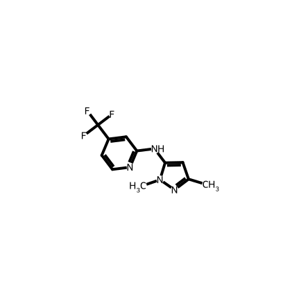 Cc1cc(Nc2cc(C(F)(F)F)ccn2)n(C)n1